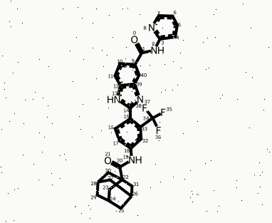 O=C(Nc1ccccn1)c1ccc2[nH]c(-c3ccc(NC(=O)C45CC6CC(CC(C6)C4)C5)cc3C(F)(F)F)nc2c1